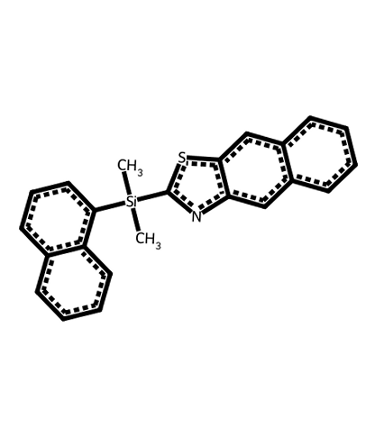 C[Si](C)(c1nc2cc3ccccc3cc2s1)c1cccc2ccccc12